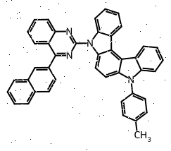 Cc1ccc(-n2c3ccccc3c3c4c5ccccc5n(-c5nc(-c6ccc7ccccc7c6)c6ccccc6n5)c4ccc32)cc1